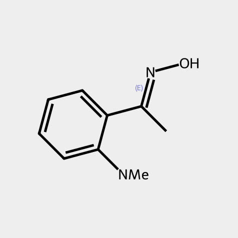 CNc1ccccc1/C(C)=N/O